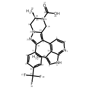 Cc1c[nH]c2nccc(-c3c(-c4ccc(C(F)(F)F)cc4)nn4c3CN(C(=O)O)[C@H](C)C4)c12